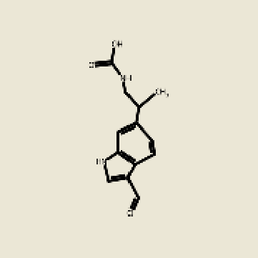 CC(CNC(=O)O)c1ccc2c(C=O)c[nH]c2c1